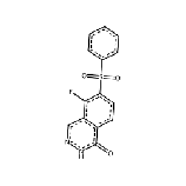 O=c1[nH]ncc2c(F)c(S(=O)(=O)c3ccccc3)ccc12